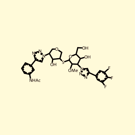 COC1C(SC2COCC(n3cc(-c4cccc(NC(C)=O)c4)nn3)C2O)OC(CO)C(O)C1n1cc(-c2cc(F)c(F)c(F)c2)nn1